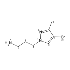 Cc1nn(CCCN)cc1Br